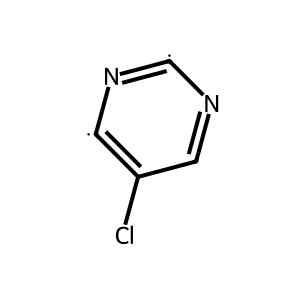 Clc1[c]n[c]nc1